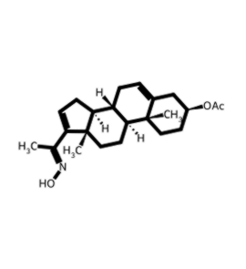 CC(=O)O[C@H]1CC[C@@]2(C)C(=CC[C@@H]3[C@@H]2CC[C@]2(C)C(C(C)=NO)=CC[C@@H]32)C1